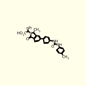 CCCC(C(=O)O)N1C(=O)c2ccc(-c3ccc(NC(=O)Nc4ccc(C)cc4)cc3)cc2[C@@H]1C